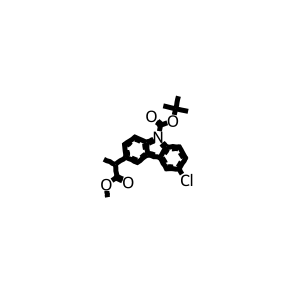 COC(=O)C(C)c1ccc2c(c1)c1cc(Cl)ccc1n2C(=O)OC(C)(C)C